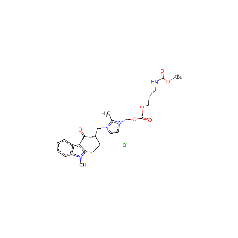 Cc1n(CC2CCc3c(c4ccccc4n3C)C2=O)cc[n+]1COC(=O)OCCCNC(=O)OC(C)(C)C.[Cl-]